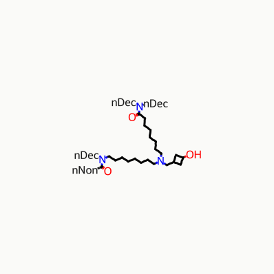 CCCCCCCCCCN(CCCCCCCCN(CCCCCCCC(=O)N(CCCCCCCCCC)CCCCCCCCCC)CC1CC(O)C1)C(=O)CCCCCCCCC